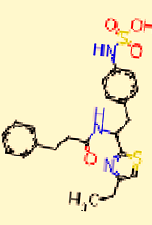 CCc1csc(C(Cc2ccc(NS(=O)(=O)O)cc2)NC(=O)CCc2ccccc2)n1